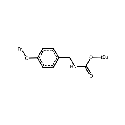 CC(C)Oc1ccc(CNC(=O)OC(C)(C)C)cc1